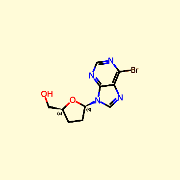 OC[C@@H]1CC[C@H](n2cnc3c(Br)ncnc32)O1